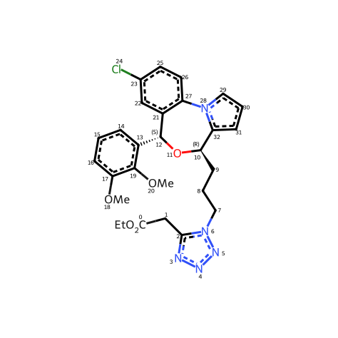 CCOC(=O)Cc1nnnn1CCC[C@H]1O[C@H](c2cccc(OC)c2OC)c2cc(Cl)ccc2-n2cccc21